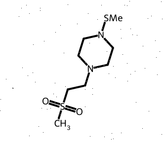 CSN1CCN(CCS(C)(=O)=O)CC1